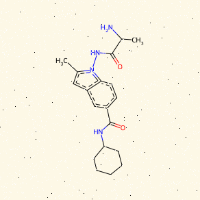 Cc1cc2cc(C(=O)NC3CCCCC3)ccc2n1NC(=O)C(C)N